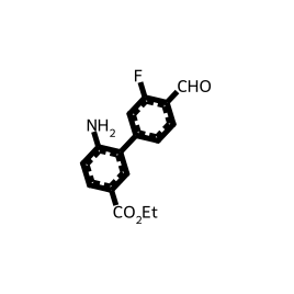 CCOC(=O)c1ccc(N)c(-c2ccc(C=O)c(F)c2)c1